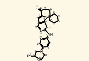 CC(C)C1CN(c2ccc(Nc3ncc4cc5n(c4n3)C3(CCCCC3)CCC5=O)nc2)CCN1